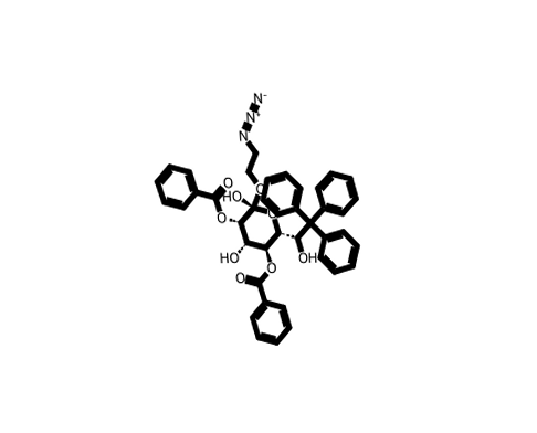 [N-]=[N+]=NCCO[C@]1(O)O[C@H](C(O)C(c2ccccc2)(c2ccccc2)c2ccccc2)[C@@H](OC(=O)c2ccccc2)[C@H](O)[C@@H]1OC(=O)c1ccccc1